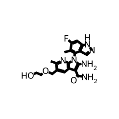 Cc1nc2c(cc1COCCO)c(C(N)=O)c(N)n2-c1c(C)c(F)cc2[nH]ncc12